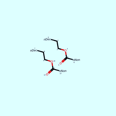 CCCCCCCCCCCCOC(=O)CCCCCCCCC.CCCCCCCCCCCCOC(=O)CCCCCCCCC